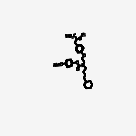 CCOC(Cc1ccc(OCCN(CCCCC2CCCCC2)C(=O)Oc2ccc(OC)cc2)cc1)C(=O)O